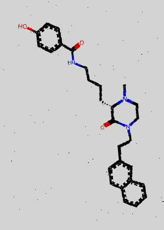 CN1CCN(CCc2ccc3ccccc3c2)C(=O)[C@@H]1CCCCNC(=O)c1ccc(O)cc1